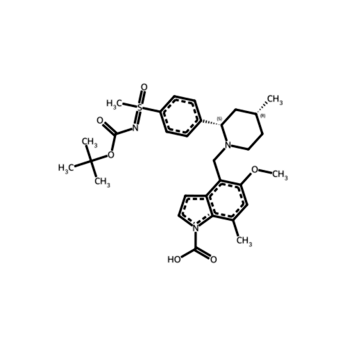 COc1cc(C)c2c(ccn2C(=O)O)c1CN1CC[C@@H](C)C[C@H]1c1ccc(S(C)(=O)=NC(=O)OC(C)(C)C)cc1